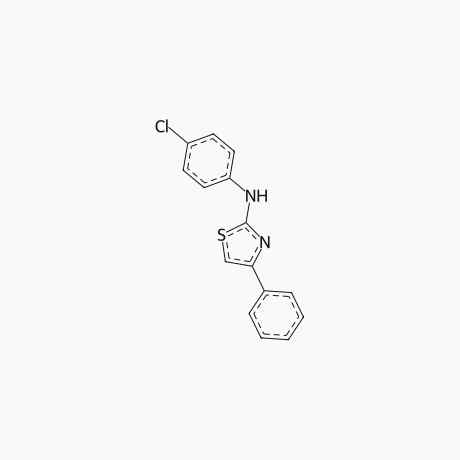 Clc1ccc(Nc2nc(-c3ccccc3)cs2)cc1